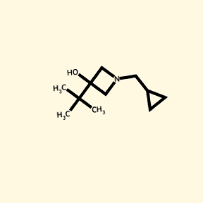 CC(C)(C)C1(O)CN(CC2CC2)C1